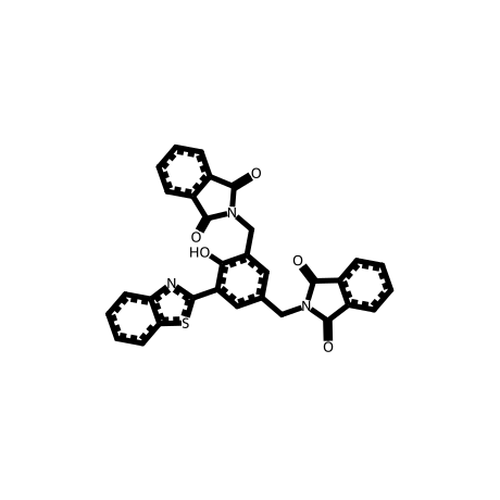 O=C1c2ccccc2C(=O)N1Cc1cc(CN2C(=O)c3ccccc3C2=O)c(O)c(-c2nc3ccccc3s2)c1